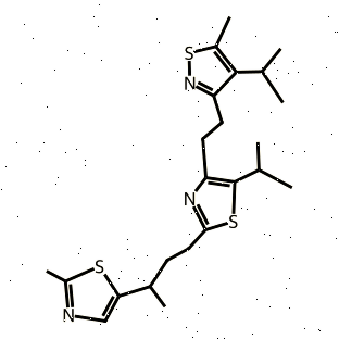 Cc1ncc(C(C)CCc2nc(CCc3nsc(C)c3C(C)C)c(C(C)C)s2)s1